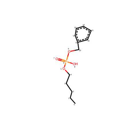 CCCCCOP(=O)(O)OCc1ccccc1